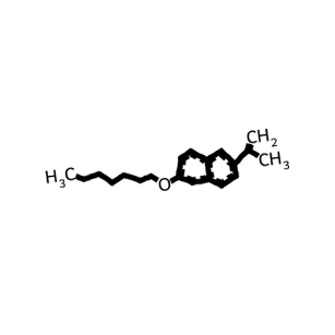 C=C(C)c1ccc2cc(OCCCCCCC)ccc2c1